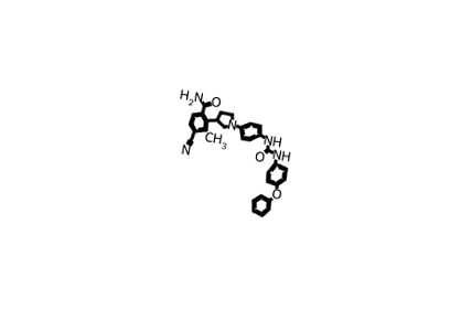 Cc1c(C#N)ccc(C(N)=O)c1C1CCN(c2ccc(NC(=O)Nc3ccc(Oc4ccccc4)cc3)cc2)C1